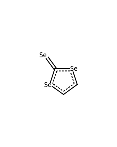 [Se]=c1[se]cc[se]1